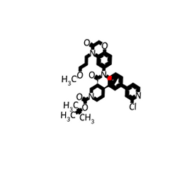 COCCCN1C(=O)COc2ccc(N(C(=O)[C@H]3CN(C(=O)OC(C)(C)C)CC[C@@H]3c3cccc(-c4ccnc(Cl)c4)c3)C3CC3)cc21